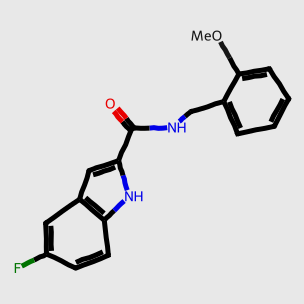 COc1ccccc1CNC(=O)c1cc2cc(F)ccc2[nH]1